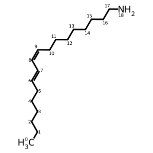 CCCCCC/C=C/C=C\CCCCCCCCN